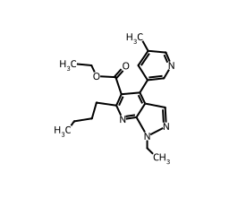 CCCCc1nc2c(cnn2CC)c(-c2cncc(C)c2)c1C(=O)OCC